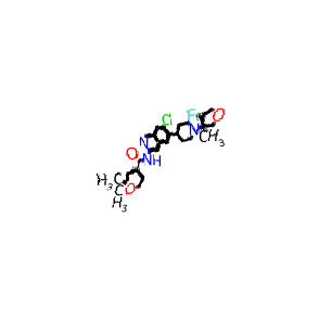 CC1(C)C[C@@H](C(=O)Nc2cc3cc(C4CCN([C@]5(C)COC[C@@H]5F)CC4)c(Cl)cc3cn2)CCO1